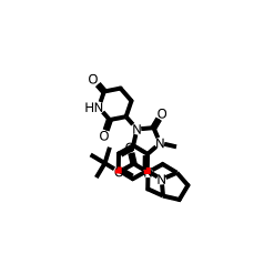 Cn1c(=O)n(C2CCC(=O)NC2=O)c2cccc(N3C4CCC3CN(C(=O)OC(C)(C)C)C4)c21